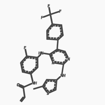 C=CC(=O)Nc1ccc(F)c(Nc2nc(Nc3csc(C)c3)ncc2-c2ccc(C(F)(F)F)cc2)c1